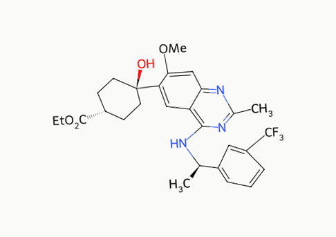 CCOC(=O)[C@H]1CC[C@@](O)(c2cc3c(N[C@H](C)c4cccc(C(F)(F)F)c4)nc(C)nc3cc2OC)CC1